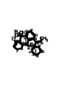 C=C1C2=C(C(F)=CCC2)C(C)(C)c2cccc(/C(=C\C)C3(C)C=CC=CC3)c21